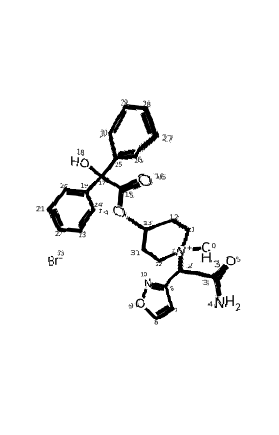 C[N+]1(C(C(N)=O)c2ccon2)CCC(OC(=O)C(O)(c2ccccc2)c2ccccc2)CC1.[Br-]